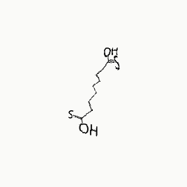 OC(=S)CCCCCCC(O)=S